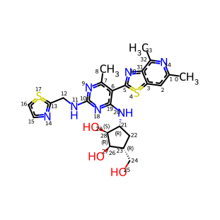 Cc1cc2sc(-c3c(C)nc(NCc4nccs4)nc3N[C@@H]3C[C@H](CO)[C@@H](O)[C@H]3O)nc2c(C)n1